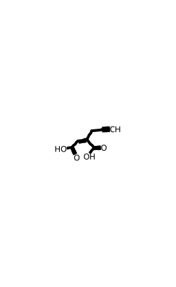 C#CCC(=CC(=O)O)C(=O)O